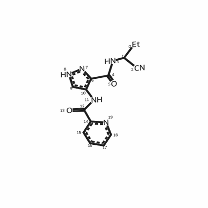 CCC(C#N)NC(=O)c1n[nH]cc1NC(=O)c1ccccn1